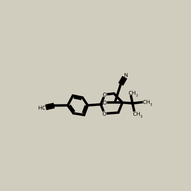 C#Cc1ccc(C23OCC(C(C)(C)C)(CO2)C(C#N)O3)cc1